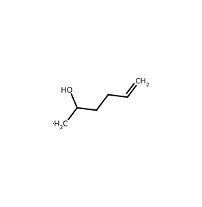 [CH2]C(O)CCC=C